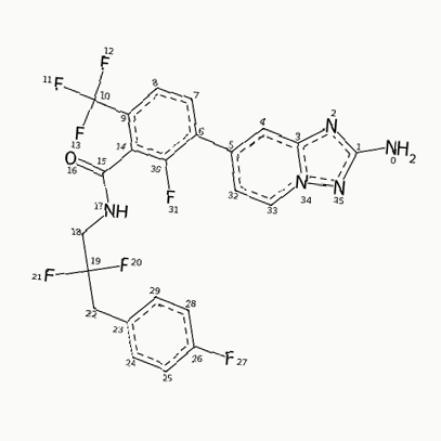 Nc1nc2cc(-c3ccc(C(F)(F)F)c(C(=O)NCC(F)(F)Cc4ccc(F)cc4)c3F)ccn2n1